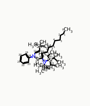 CCCCCCCCC=C([SiH2]N(C=C[Si](C)(C)C)c1ccccc1)N([Si](C)(C)C)[Si](C(C)C)(C(C)C)C(C)C